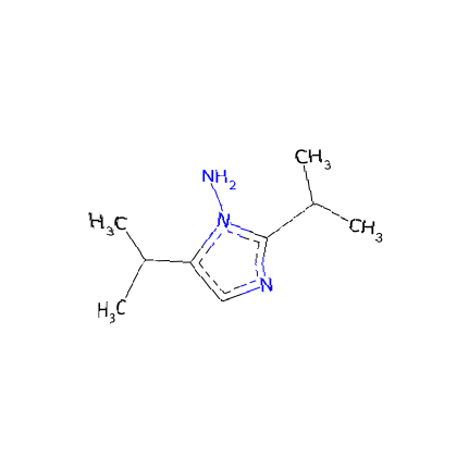 CC(C)c1cnc(C(C)C)n1N